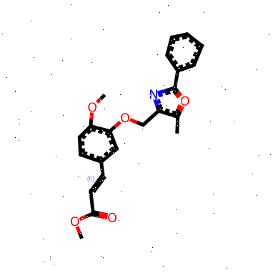 COC(=O)/C=C/c1ccc(OC)c(OCc2nc(-c3ccccc3)oc2C)c1